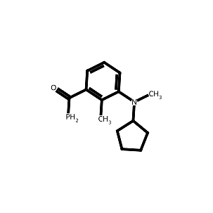 Cc1c(C(=O)P)cccc1N(C)C1CCCC1